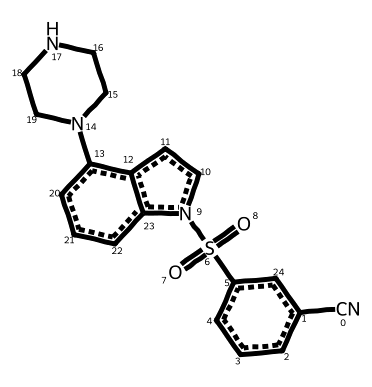 N#Cc1cccc(S(=O)(=O)n2ccc3c(N4CCNCC4)cccc32)c1